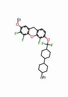 CCCC1CCC(C2CCC(C(F)(F)Oc3ccc4c(c3F)Oc3c(cc(OCC)c(F)c3F)C4)CC2)CC1